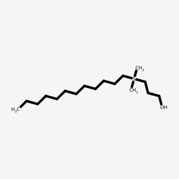 CCCCCCCCCCCCS(C)(C)CCCO